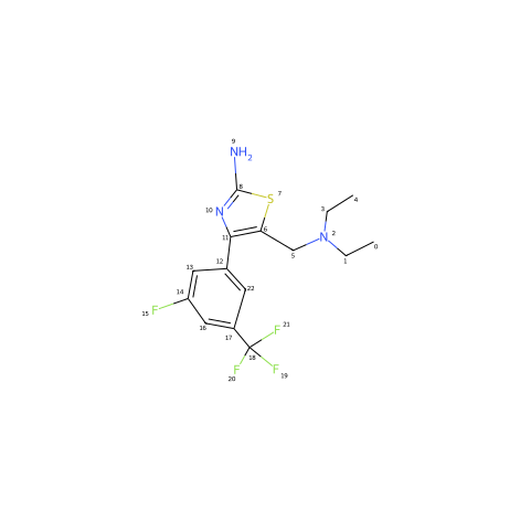 CCN(CC)Cc1sc(N)nc1-c1cc(F)cc(C(F)(F)F)c1